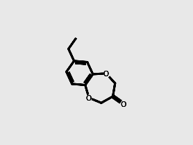 CCc1ccc2c(c1)OCC(=O)CO2